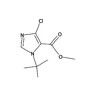 COC(=O)c1c(Cl)ncn1C(C)(C)C